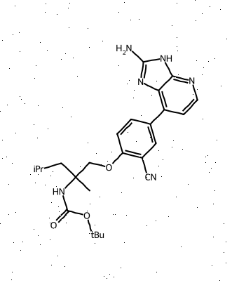 CC(C)CC(C)(COc1ccc(-c2ccnc3[nH]c(N)nc23)cc1C#N)NC(=O)OC(C)(C)C